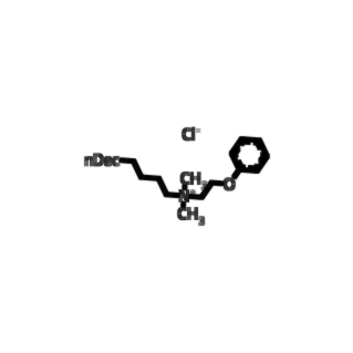 CCCCCCCCCCCCCC[N+](C)(C)CCOc1ccccc1.[Cl-]